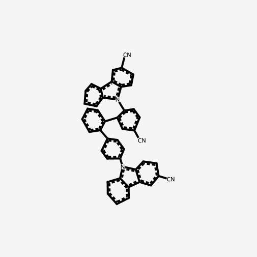 N#Cc1ccc(-n2c3ccccc3c3cc(C#N)ccc32)c(-c2ccccc2-c2ccc(-n3c4ccccc4c4cc(C#N)ccc43)cc2)c1